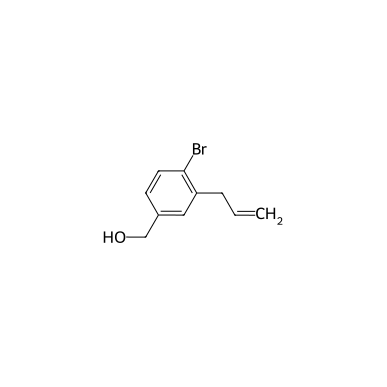 C=CCc1cc(CO)ccc1Br